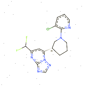 FC(F)c1cc([C@H]2CCCN(c3ncccc3Cl)C2)n2ncnc2n1